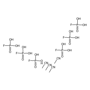 CC#N.CC#N.CC#N.CC#N.O=P(O)(O)F.O=P(O)(O)F.O=P(O)(O)F.O=P(O)(O)F.O=P(O)(O)F.O=P(O)(O)F